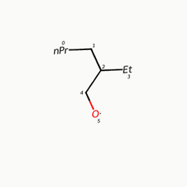 CCCCC(CC)C[O]